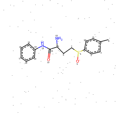 Cc1ccc([S+]([O-])CCC(N)C(=O)Nc2ccccc2)cc1